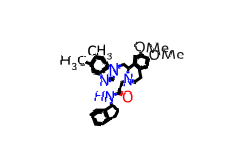 COc1cc2c(cc1OC)C(Cn1cnc3cc(C)c(C)cc31)N(CC(=O)NC1CCc3ccccc31)CC2